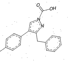 O=C(O)n1cc(-c2ccc(F)cc2)c(Cc2ccccc2)n1